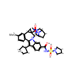 COc1ccc2c(c1)C1CC1(C(=O)N1C3CCC1CN(C)C3)Cn1c-2c(C2CCCCC2)c2ccc(C(=O)NS(=O)(=O)N3CCCC3)cc21